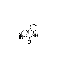 O=C1NC2CC=CC=C2N2C=NNC12